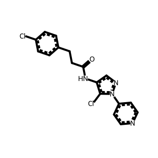 O=C(CCc1ccc(Cl)cc1)Nc1cnn(-c2ccncc2)c1Cl